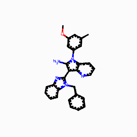 COc1cc(C)cc(-n2c(N)c(-c3nc4ccccc4n3Cc3ccccc3)c3ncccc32)c1